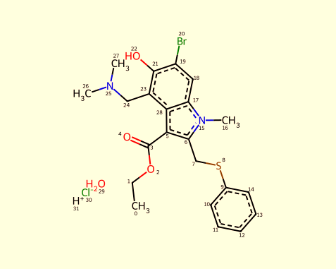 CCOC(=O)c1c(CSc2ccccc2)n(C)c2cc(Br)c(O)c(CN(C)C)c12.O.[Cl-].[H+]